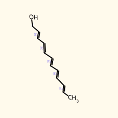 C/C=C/C=C/C=C/C=C/C=C/CO